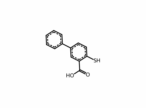 O=C(O)c1cc(-c2ccccc2)ccc1S